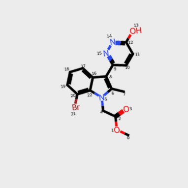 COC(=O)Cn1c(C)c(-c2ccc(O)nn2)c2cccc(Br)c21